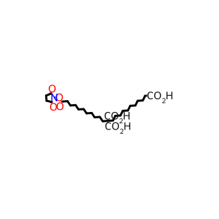 O=C(O)CCCCCCCCCCC(CCCCCCCCCCC(=O)ON1C(=O)CCC1=O)(C(=O)O)C(=O)O